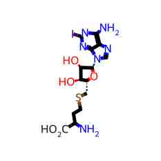 Nc1nc(I)nc2c1ncn2[C@@H]1O[C@H](CSCCC(N)C(=O)O)[C@@H](O)[C@H]1O